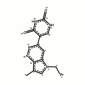 Cc1cn(CC(C)C)c2cc(-c3c[nH]c(=O)[nH]c3=O)nnc12